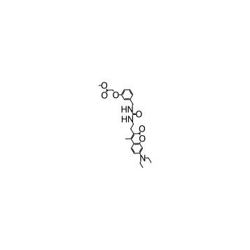 CCN(CC)c1ccc2c(C)c(CCNC(=O)NCc3cccc(OCC(=O)OC)c3)c(=O)oc2c1